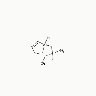 CC[N+]1(CC(C)(N)CO)C=NCC1